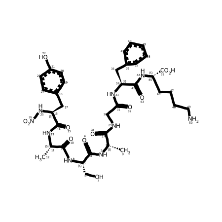 C[C@H](NC(=O)[C@H](CO)NC(=O)[C@H](C)NC(=O)[C@H](Cc1ccc(O)cc1)N[N+](=O)[O-])C(=O)NCC(=O)N[C@@H](Cc1ccccc1)C(=O)N[C@@H](CCCCN)C(=O)O